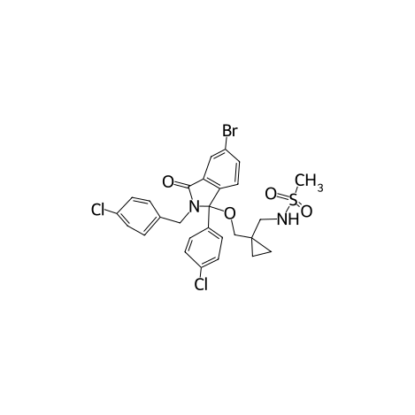 CS(=O)(=O)NCC1(COC2(c3ccc(Cl)cc3)c3ccc(Br)cc3C(=O)N2Cc2ccc(Cl)cc2)CC1